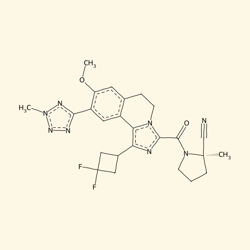 COc1cc2c(cc1-c1nnn(C)n1)-c1c(C3CC(F)(F)C3)nc(C(=O)N3CCC[C@]3(C)C#N)n1CC2